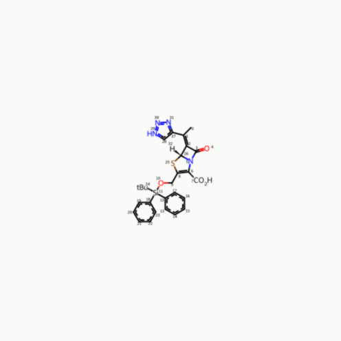 CC(=C1C(=O)N2C(C(=O)O)=C(CO[Si](c3ccccc3)(c3ccccc3)C(C)(C)C)S[C@H]12)c1c[nH]nn1